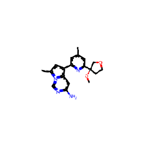 CO[C@]1(c2cc(C)cc(-c3cc(C)n4cnc(N)cc34)n2)CCOC1